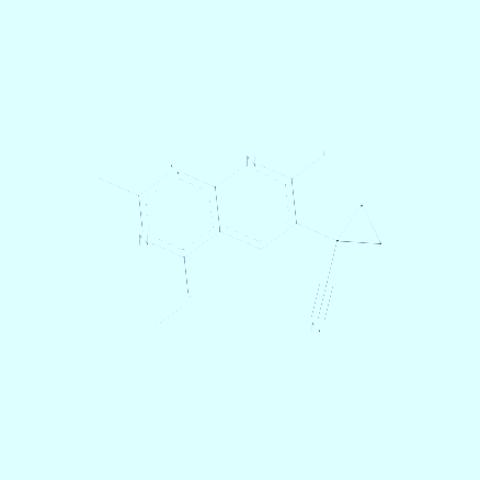 CSc1nc(C)nc2nc(Cl)c(C3(C#N)CC3)cc12